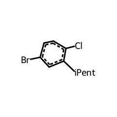 CCCC(C)c1cc(Br)ccc1Cl